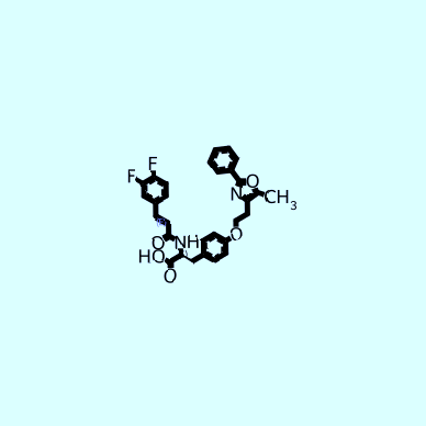 Cc1oc(-c2ccccc2)nc1CCOc1ccc(C[C@H](NC(=O)/C=C/c2ccc(F)c(F)c2)C(=O)O)cc1